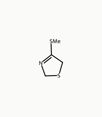 CSC1=NCSC1